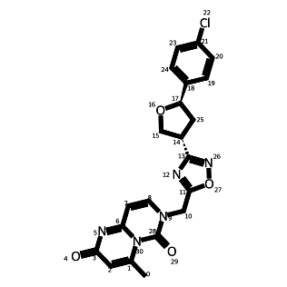 Cc1cc(=O)nc2ccn(Cc3nc([C@@H]4CO[C@@H](c5ccc(Cl)cc5)C4)no3)c(=O)n12